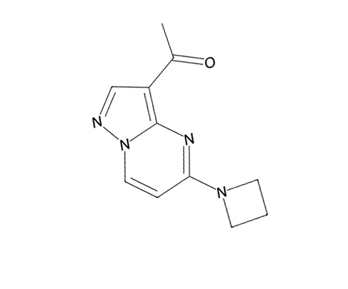 CC(=O)c1cnn2ccc(N3CCC3)nc12